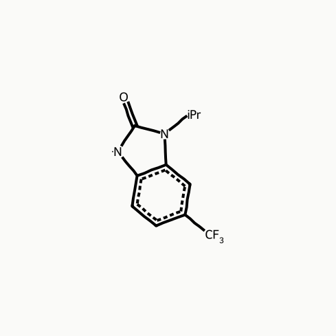 CC(C)N1C(=O)[N]c2ccc(C(F)(F)F)cc21